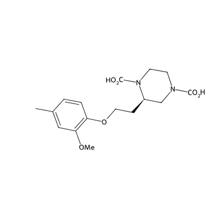 COc1cc(C)ccc1OCC[C@@H]1CN(C(=O)O)CCN1C(=O)O